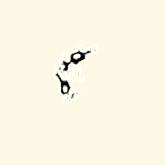 Cc1nn(Cc2ccc([N+](=O)[O-])cc2)c(C)c1-c1ccc(C#N)c(Cl)c1